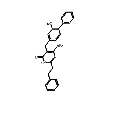 CCCCc1nc(CCc2ccccc2)[nH]c(=O)c1Cc1ccc(-c2ccccc2)c(C#N)c1